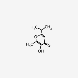 Cc1oc(C(C)C)cc(=S)c1O